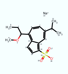 CCC(OC)c1ccc(C(C)C)cc2c(S(=O)(=O)[O-])ccc1-2.[Na+]